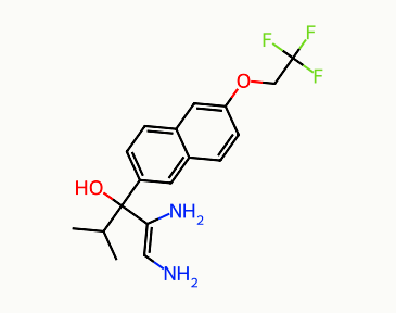 CC(C)C(O)(/C(N)=C/N)c1ccc2cc(OCC(F)(F)F)ccc2c1